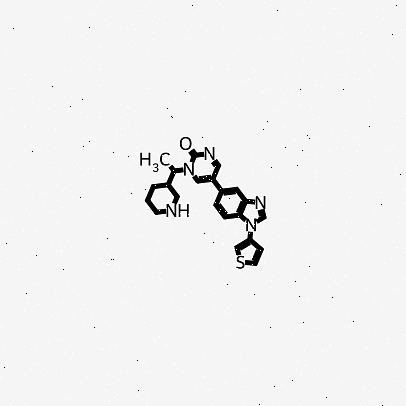 CC(C1CCCNC1)n1cc(-c2ccc3c(c2)ncn3-c2ccsc2)cnc1=O